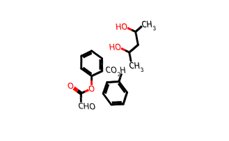 CC(O)CC(C)O.O=C(O)c1ccccc1.O=CC(=O)Oc1ccccc1